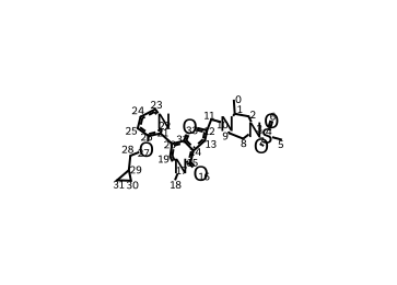 CC1CN(S(C)(=O)=O)CCN1Cc1cc2c(=O)n(C)cc(-c3ncccc3OCC3CC3)c2o1